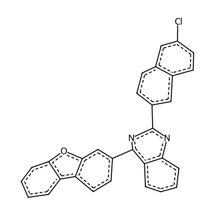 Clc1ccc2cc(-c3nc(-c4ccc5c(c4)oc4ccccc45)c4ccccc4n3)ccc2c1